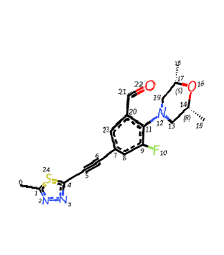 Cc1nnc(C#Cc2cc(F)c(N3C[C@@H](C)O[C@@H](C)C3)c(C=O)c2)s1